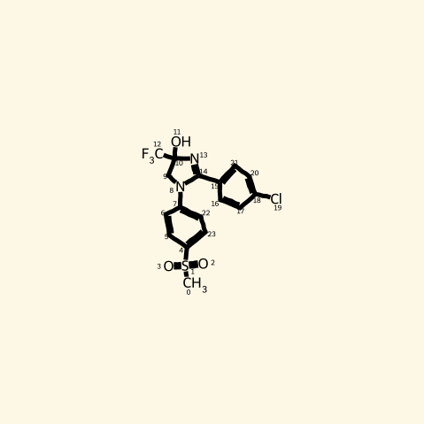 CS(=O)(=O)c1ccc(N2CC(O)(C(F)(F)F)N=C2c2ccc(Cl)cc2)cc1